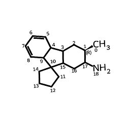 C[C@@H]1CC2C3C=CC=CC3C3(CCCC3)C2CC1N